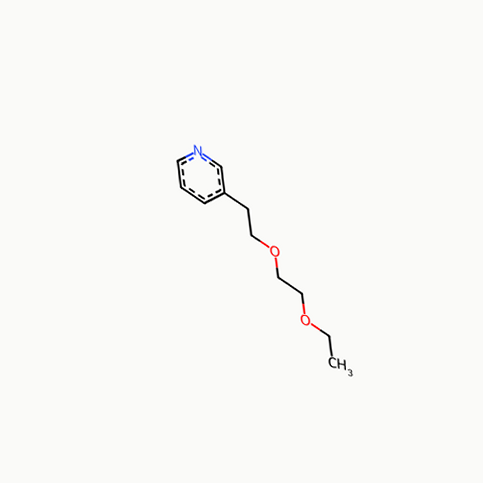 CCOCCOCCc1cccnc1